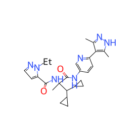 CCn1nccc1C(=O)NC(C)(C(=O)Nc1ccc(-c2c(C)n[nH]c2C)nc1)C(C1CC1)C1CC1